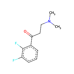 CN(C)CCC(=O)c1cccc(F)c1F